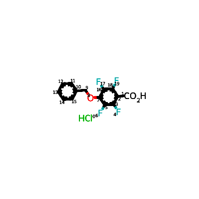 Cl.O=C(O)c1c(F)c(F)c(OCc2ccccc2)c(F)c1F